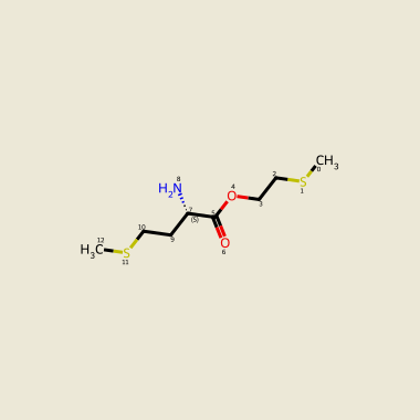 CSCCOC(=O)[C@@H](N)CCSC